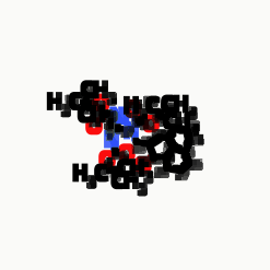 CC(C)(C)OC(=O)/N=C(/NC(=O)OC(C)(C)C)N(CC1=Cc2cccc3cccc(c23)C1=O)C(=O)OC(C)(C)C